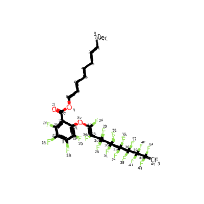 CCCCCCCCCCCCCCCCCCOC(=O)c1c(F)c(F)c(F)c(F)c1OC(F)=C(F)C(F)(F)C(F)(F)C(F)(F)C(F)(F)C(F)(F)C(F)(F)C(F)(F)F